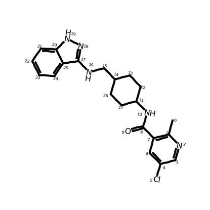 Cc1ncc(Cl)cc1C(=O)NC1CCC(CNc2n[nH]c3ccccc23)CC1